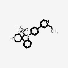 CCc1cc(-c2ccc(N3c4ccccc4C4(CCNCC4)C3S(C)(=O)=O)cc2)ccn1